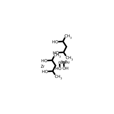 CC(O)CC(C)O.CC(O)CC(C)O.CCCCO.CCCCO.[Zr]